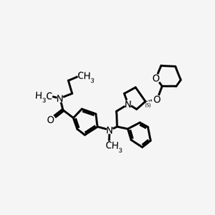 CCCN(C)C(=O)c1ccc(N(C)C(CN2CC[C@H](OC3CCCCO3)C2)c2ccccc2)cc1